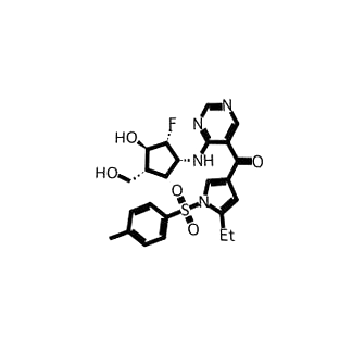 CCc1cc(C(=O)c2cncnc2N[C@@H]2C[C@H](CO)[C@@H](O)[C@@H]2F)cn1S(=O)(=O)c1ccc(C)cc1